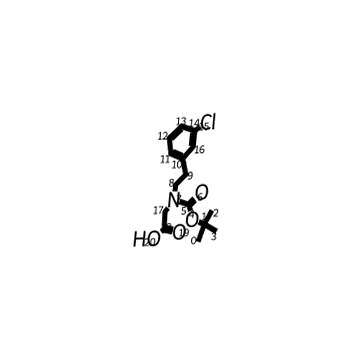 CC(C)(C)OC(=O)N(CCc1cccc(Cl)c1)CC(=O)O